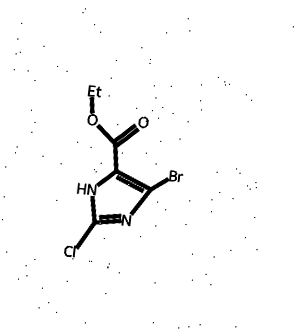 CCOC(=O)c1[nH]c(Cl)nc1Br